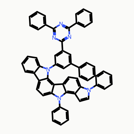 c1ccc(-c2cc(-c3nc(-c4ccccc4)nc(-c4ccccc4)n3)cc(-n3c4ccccc4c4ccc5c(c6ccc7c(ccn7-c7ccccc7)c6n5-c5ccccc5)c43)c2)cc1